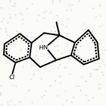 CC12Cc3cccc(Cl)c3CC(N1)c1ccccc12